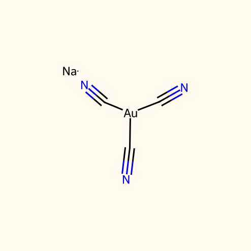 N#[C][Au]([C]#N)[C]#N.[Na]